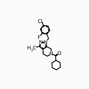 Cc1nn(Cc2ccc(Cl)cc2F)c2c1CCN(C(=O)C1CCCCC1)C2